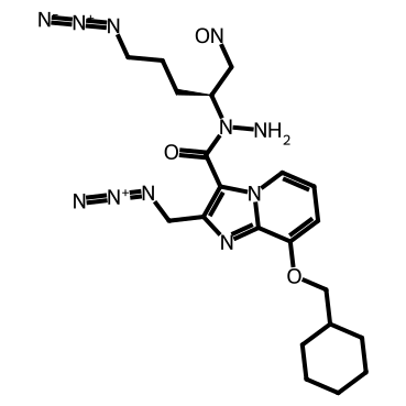 [N-]=[N+]=NCCC[C@@H](CN=O)N(N)C(=O)c1c(CN=[N+]=[N-])nc2c(OCC3CCCCC3)cccn12